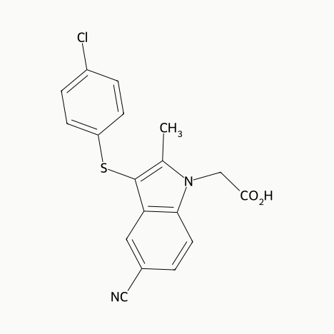 Cc1c(Sc2ccc(Cl)cc2)c2cc(C#N)ccc2n1CC(=O)O